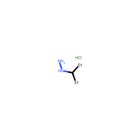 CCC(CC)NN.Cl